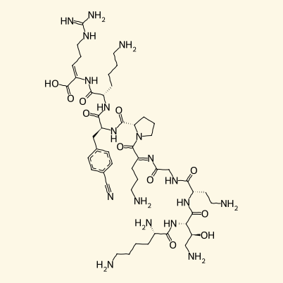 N#Cc1ccc(C[C@H](NC(=O)[C@@H]2CCCN2C(=O)/C(CCCN)=N/C(=O)CNC(=O)[C@H](CCN)NC(=O)[C@@H](NC(=O)[C@@H](N)CCCCN)[C@@H](O)CN)C(=O)N[C@@H](CCCCN)C(=O)N/C(=C\CCNC(=N)N)C(=O)O)cc1